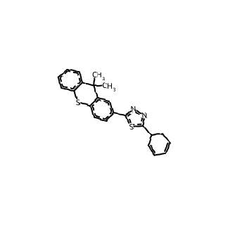 CC1(C)c2ccccc2Sc2ccc(-c3nnc(C4C=CC=CC4)s3)cc21